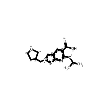 CC(C)Oc1nc2nn(CC3CCOC3)cc2cc1C(=O)O